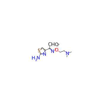 CN(C)CCO/N=C(\[C]=O)c1csc(N)n1